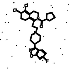 O=C(C1CCCC1)N1CCC2=C(Cl)C(Cl)CCC2=C1CCN1CCC(c2noc3cc(F)ccc23)CC1